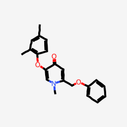 Cc1ccc(Oc2cn(C)c(COc3ccccc3)cc2=O)c(C)c1